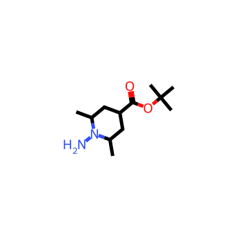 CC1CC(C(=O)OC(C)(C)C)CC(C)N1N